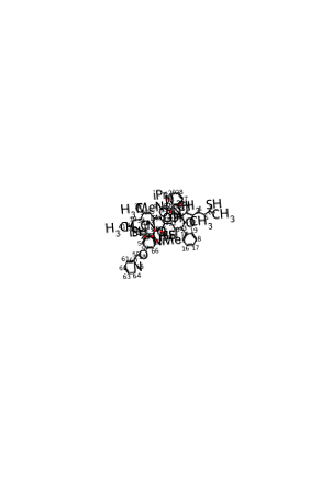 [2H]C(C(C)CCC(C)S)[C@@]([2H])(C(=O)C(c1ccccc1)C(S)C(OCc1ccccn1)[C](C(=O)[C@H](CC(C)CCC(C)S)N(C)C(=O)[C@H](CC(C)C)NC)C(S)Cc1ccc(OCc2ccccn2)cc1)N(C)C(=O)[C@H](CC(C)C)NC